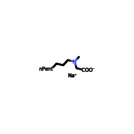 CCCCCCCCN(C)CC(=O)[O-].[Na+]